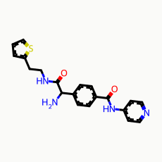 NC(C(=O)NCCc1cccs1)c1ccc(C(=O)Nc2ccncc2)cc1